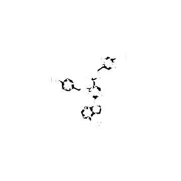 COc1cccc2c1CCN2c1ncc(C(=O)NCc2cnc(C)cn2)c(OCc2ccc(Br)cc2)n1